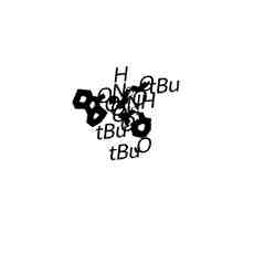 CC(C)(C)OC(=O)C[C@H](NC(=O)OC1c2ccccc2-c2ccccc21)C(=O)N[C@@H](Cc1ccc(OC(C)(C)C)cc1)C(=O)OC(C)(C)C